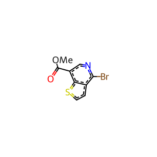 COC(=O)c1cnc(Br)c2ccsc12